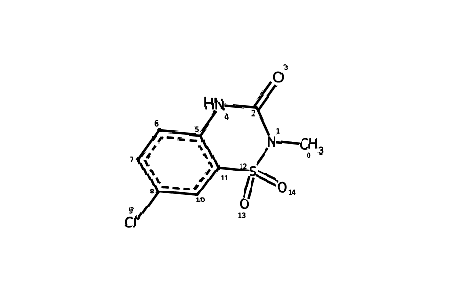 CN1C(=O)Nc2ccc(Cl)cc2S1(=O)=O